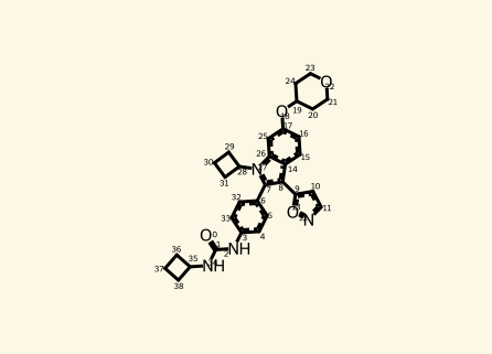 O=C(Nc1ccc(-c2c(-c3ccno3)c3ccc(OC4CCOCC4)cc3n2C2CCC2)cc1)NC1CCC1